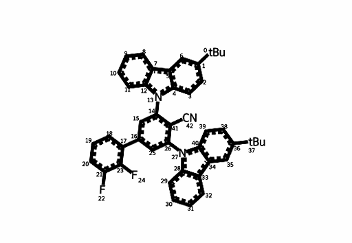 CC(C)(C)c1ccc2c(c1)c1ccccc1n2-c1cc(-c2cccc(F)c2F)cc(-n2c3ccccc3c3cc(C(C)(C)C)ccc32)c1C#N